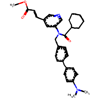 COC(=O)/C=C/c1cncc(N(Cc2ccc(-c3ccc(N(C)C)cc3)cc2)C(=O)C2CCCCC2)c1